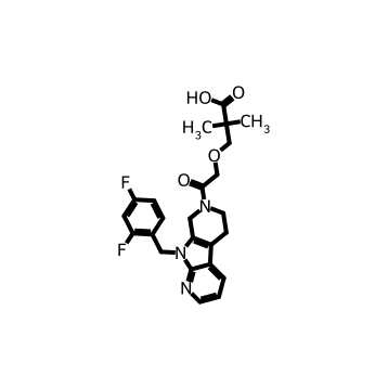 CC(C)(COCC(=O)N1CCc2c(n(Cc3ccc(F)cc3F)c3ncccc23)C1)C(=O)O